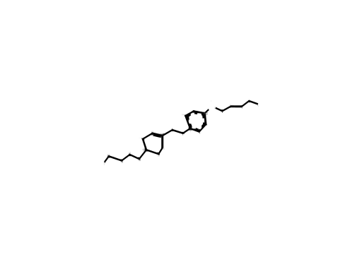 CCCCCOc1ccc(CCC2=CCC(CCCCC)CC2)cc1